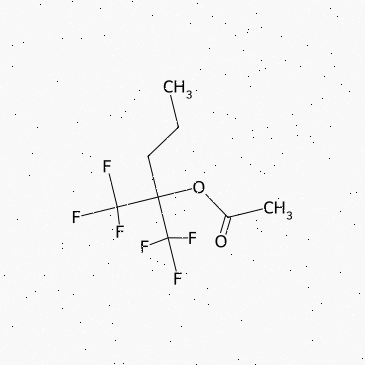 CCCC(OC(C)=O)(C(F)(F)F)C(F)(F)F